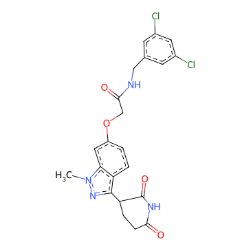 Cn1nc(C2CCC(=O)NC2=O)c2ccc(OCC(=O)NCc3cc(Cl)cc(Cl)c3)cc21